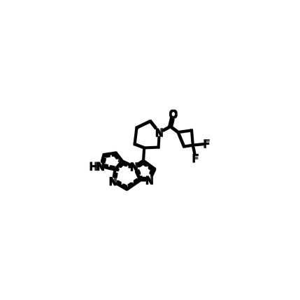 O=C(C1CC(F)(F)C1)N1CCCC(c2cnc3cnc4[nH]ccc4n23)C1